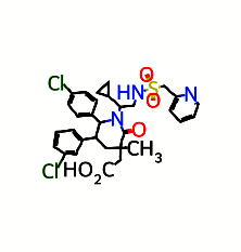 CC1(CC(=O)O)CC(c2cccc(Cl)c2)C(c2ccc(Cl)cc2)N(C(CNS(=O)(=O)Cc2ccccn2)C2CC2)C1=O